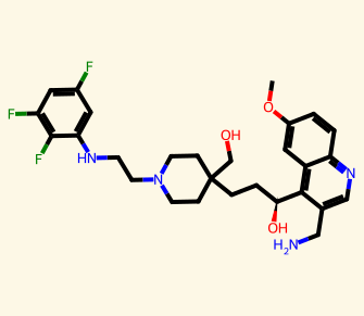 COc1ccc2ncc(CN)c([C@@H](O)CCC3(CO)CCN(CCNc4cc(F)cc(F)c4F)CC3)c2c1